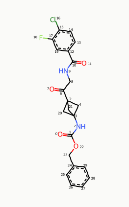 O=C(NC12CC(C(=O)CNC(=O)c3ccc(Cl)c(F)c3)(C1)C2)OCc1ccccc1